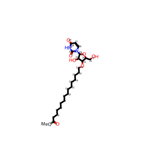 COC(=O)CCCCCCCCCCCCCCCOC1C(CO)OC(n2ccc(=O)[nH]c2=O)C1O